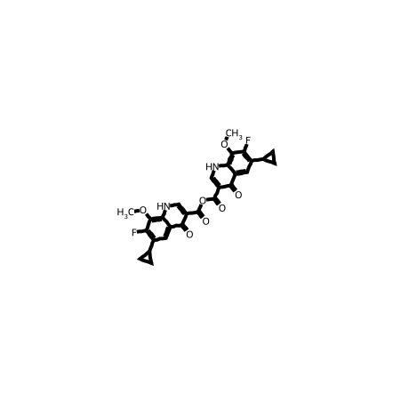 COc1c(F)c(C2CC2)cc2c(=O)c(C(=O)OC(=O)c3c[nH]c4c(OC)c(F)c(C5CC5)cc4c3=O)c[nH]c12